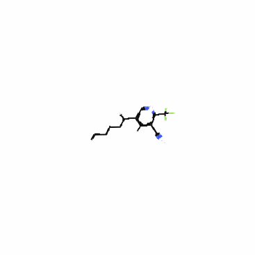 CCCCCC(C)c1cnc(C(F)(F)F)c(C#N)c1C